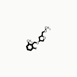 COCC1CC(OCc2c(C)cccc2F)CO1